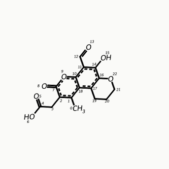 Cc1c(CC(=O)O)c(=O)oc2c(C=O)c(O)c3c(c12)CCCO3